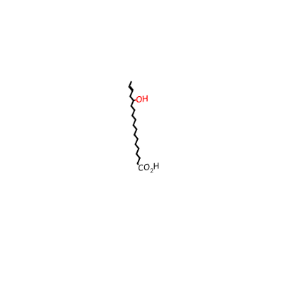 CC=CCC(O)CCCCCCCCCCCCCC(=O)O